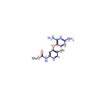 COC(=O)Nc1cc(Oc2cnc(N)nc2N)c(C(C)C)cn1